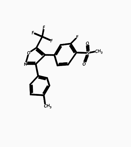 Cc1ccc(-c2noc(C(F)(F)F)c2-c2ccc(S(C)(=O)=O)c(F)c2)cc1